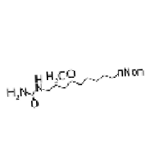 C=O.CCCCCCCCCCCCCCCCCCNC(N)=O